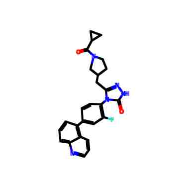 O=C(C1CC1)N1CCC(Cc2n[nH]c(=O)n2-c2ccc(-c3cccc4ncccc34)cc2F)C1